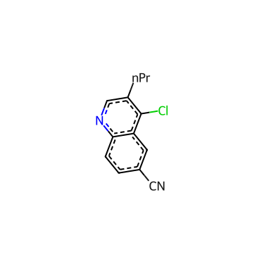 CCCc1cnc2ccc(C#N)cc2c1Cl